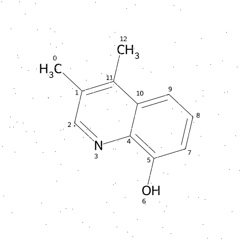 Cc1[c]nc2c(O)cccc2c1C